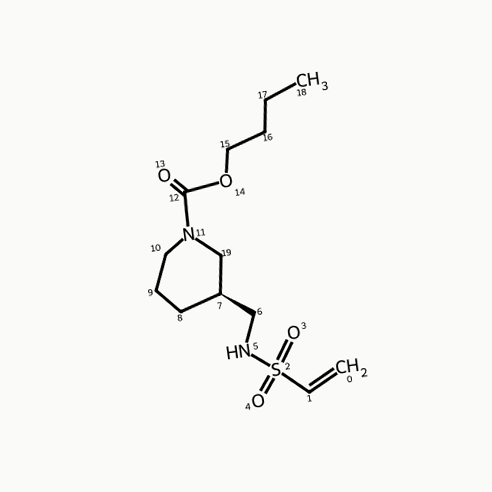 C=CS(=O)(=O)NC[C@H]1CCCN(C(=O)OCCCC)C1